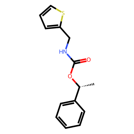 C[C@@H](OC(=O)NCc1cccs1)c1ccccc1